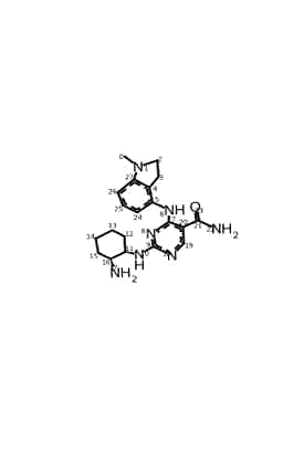 CN1CCc2c(Nc3nc(N[C@@H]4CCCC[C@@H]4N)ncc3C(N)=O)cccc21